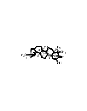 CC1(C)CCC23CC[C@]4(C)[C@H](CC[C@@H]5[C@@]6(C)C=C(O)C(=O)C(C)(C)[C@@H]6CC[C@]54C)[C@H]2C1OC3